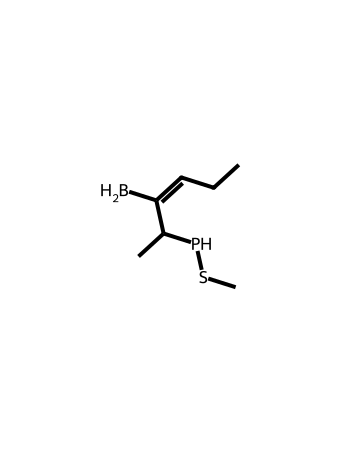 B/C(=C/CC)C(C)PSC